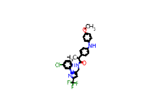 COc1ccc(Nc2ccc(C(C)C(=O)NCc3cc(C(F)(F)F)nn3-c3cccc(Cl)c3)cc2)cc1